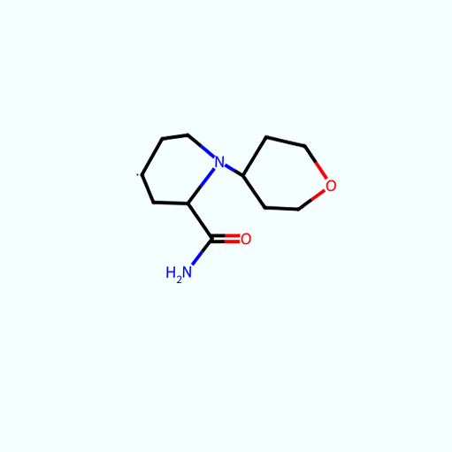 NC(=O)C1C[CH]CCN1C1CCOCC1